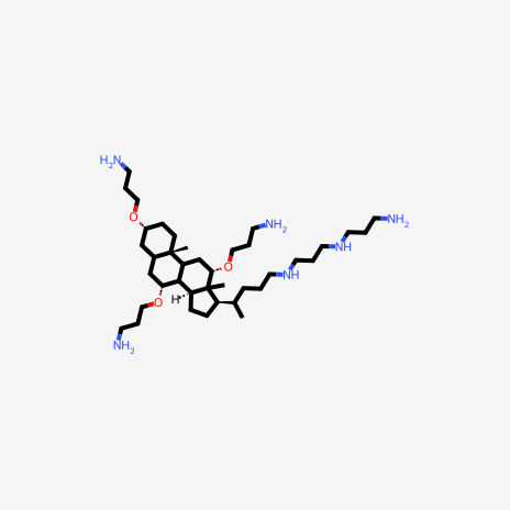 CC(CCCNCCCNCCCN)[C@H]1CC[C@H]2C3C(C[C@H](OCCCN)C12C)[C@@]1(C)CC[C@@H](OCCCN)CC1C[C@H]3OCCCN